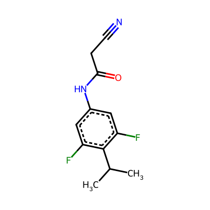 CC(C)c1c(F)cc(NC(=O)CC#N)cc1F